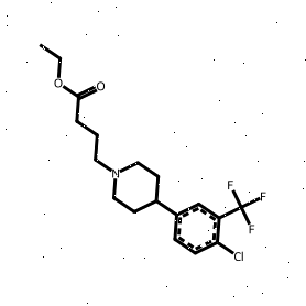 CCOC(=O)CCCN1CCC(c2ccc(Cl)c(C(F)(F)F)c2)CC1